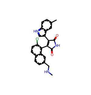 CNCc1ccc2ccc(Cl)c(C3=C(c4c[nH]c5ccc(C)cc45)C(=O)NC3=O)c2c1